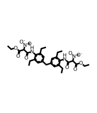 CCOC(=O)C(C(=O)Nc1c(CC)cc(Cc2cc(CC)c(NC(=O)C(C(=O)OCC)[N+](=O)[O-])c(CC)c2)cc1CC)[N+](=O)[O-]